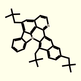 CC(C)(C)Cc1ccc2c(CC(C)(C)C)c3c(cc2c1)c1nccc2cc(CC(C)(C)C)c4c5ccccc5n3c4c21